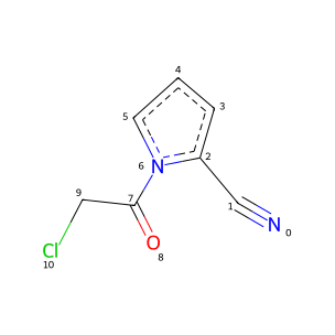 N#Cc1cccn1C(=O)CCl